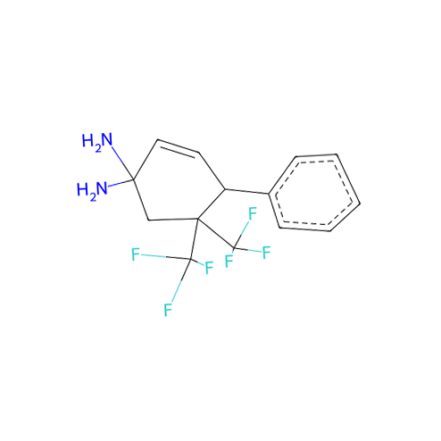 NC1(N)C=CC(c2ccccc2)C(C(F)(F)F)(C(F)(F)F)C1